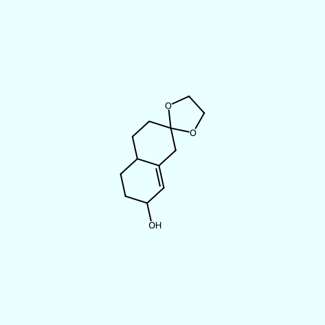 OC1C=C2CC3(CCC2CC1)OCCO3